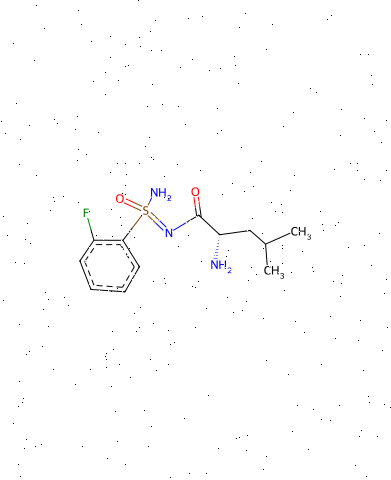 CC(C)C[C@H](N)C(=O)N=S(N)(=O)c1ccccc1F